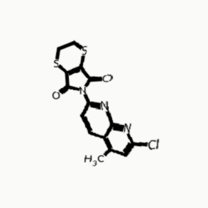 Cc1cc(Cl)nc2nc(N3C(=O)C4=C(SCCS4)C3=O)ccc12